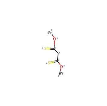 CC(C)OC(=S)CC(=S)OC(C)C